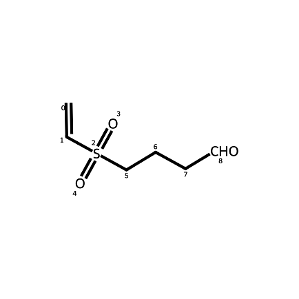 C=CS(=O)(=O)CCCC=O